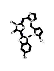 CCn1c(=O)/c(=C2\Sc3cc(C(C)C)ccc3N2C)s/c1=C\c1scc[n+]1Cc1ccc(C(F)(F)F)o1